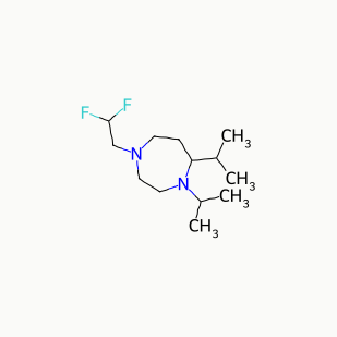 CC(C)C1CCN(CC(F)F)CCN1C(C)C